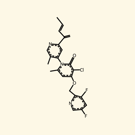 C=C(/C=C/C)c1cc(-n2c(C)cc(OCc3ncc(F)cc3F)c(Cl)c2=O)c(C)cn1